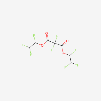 O=C(OC(F)C(F)F)C(F)(F)C(=O)OC(F)C(F)F